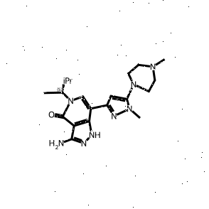 CC(C)[C@H](C)n1cc(-c2cc(N3CCN(C)CC3)n(C)n2)c2[nH]nc(N)c2c1=O